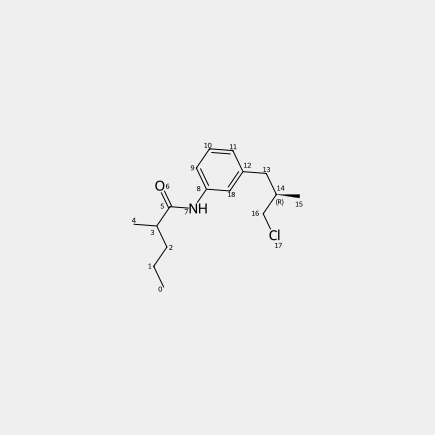 CCCC(C)C(=O)Nc1cccc(C[C@@H](C)CCl)c1